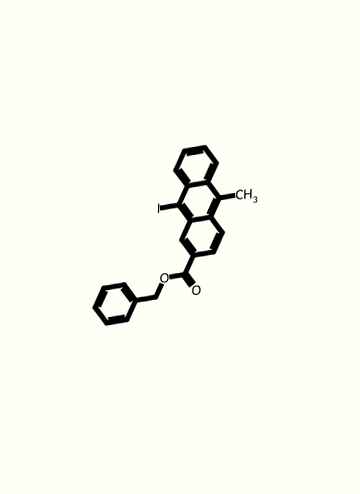 Cc1c2ccccc2c(I)c2cc(C(=O)OCc3ccccc3)ccc12